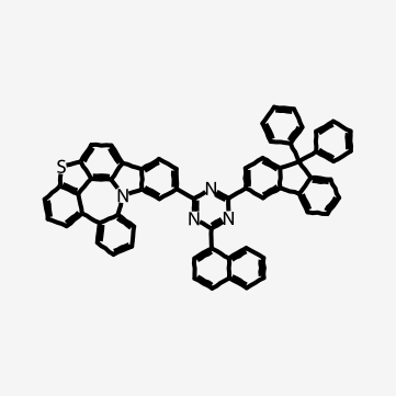 c1ccc(C2(c3ccccc3)c3ccccc3-c3cc(-c4nc(-c5ccc6c7ccc8sc9cccc%10c%11ccccc%11n(c6c5)c7c8c9%10)nc(-c5cccc6ccccc56)n4)ccc32)cc1